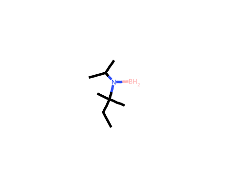 BN(C(C)C)C(C)(C)CC